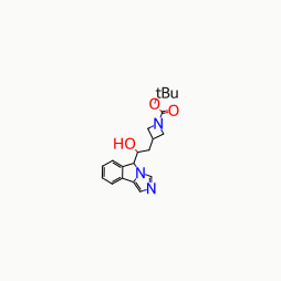 CC(C)(C)OC(=O)N1CC(CC(O)C2c3ccccc3-c3cncn32)C1